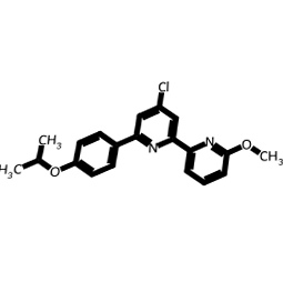 COc1cccc(-c2cc(Cl)cc(-c3ccc(OC(C)C)cc3)n2)n1